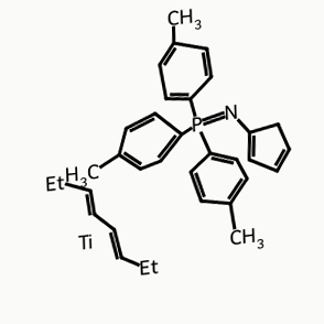 CCC=CC=CCC.Cc1ccc(P(=NC2=CC=CC2)(c2ccc(C)cc2)c2ccc(C)cc2)cc1.[Ti]